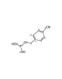 N#Cc1ccc(COP(O)O)cc1